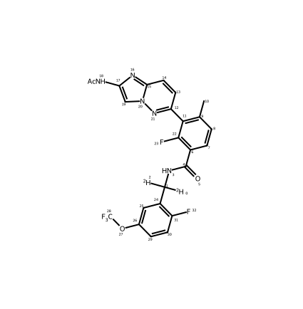 [2H]C([2H])(NC(=O)c1ccc(C)c(-c2ccc3nc(NC(C)=O)cn3n2)c1F)c1cc(OC(F)(F)F)ccc1F